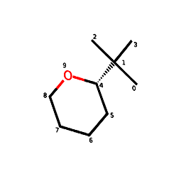 CC(C)(C)[C@@H]1CCCCO1